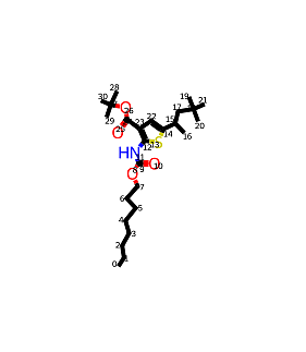 CCCCCCCCOC(=O)Nc1sc(C(C)CC(C)(C)C)cc1C(=O)OC(C)(C)C